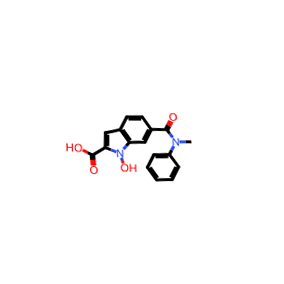 CN(C(=O)c1ccc2cc(C(=O)O)n(O)c2c1)c1ccccc1